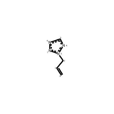 C=C[CH]n1ncnn1